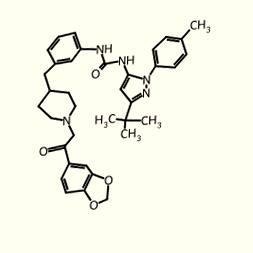 Cc1ccc(-n2nc(C(C)(C)C)cc2NC(=O)Nc2cccc(CC3CCN(CC(=O)c4ccc5c(c4)OCO5)CC3)c2)cc1